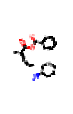 CC=C=C(C)C(=O)OC(=O)c1ccccc1.NC1CCCCC1